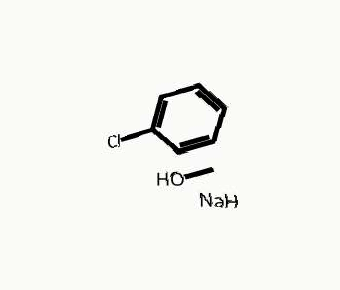 CO.Clc1ccccc1.[NaH]